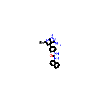 CC(C)(C)c1cc(-c2ccc(NC(=O)Nc3cccc4ccccc34)cc2)c2c(N)n[nH]c2n1